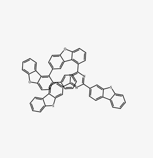 c1ccc(-c2ccc3oc4ccccc4c3c2-c2ccc3oc4cccc(-c5nc(-c6ccc7c(c6)sc6ccccc67)nc(-c6ccc7c(c6)sc6ccccc67)n5)c4c3c2)cc1